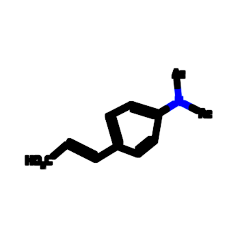 CC(=O)N(C(C)=O)c1ccc(C=CC(=O)O)cc1